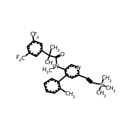 Cc1ccccc1-c1cc(C#C[Si](C)(C)C)ncc1N(C)C(=O)C(C)(C)c1cc(C(F)(F)F)cc(C(F)(F)F)c1